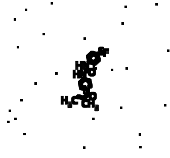 CCC(C)C(=O)N1CCC(NC(=O)Nc2ccc(SF)cc2)CC1